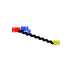 N[C@@H](CO)C/C=C/CCCCCCCCCCCCS